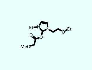 CCOCCN1C=CN(CC)C1OC(=O)COC